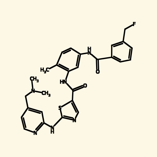 Cc1ccc(NC(=O)c2cccc(CF)c2)cc1NC(=O)c1cnc(Nc2cc(CN(C)C)ccn2)s1